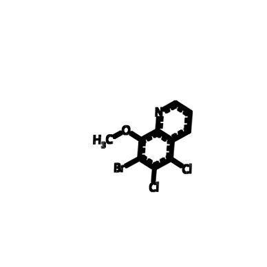 COc1c(Br)c(Cl)c(Cl)c2cccnc12